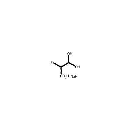 CCC(C(=O)O)C(O)O.[NaH]